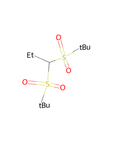 CCC(S(=O)(=O)C(C)(C)C)S(=O)(=O)C(C)(C)C